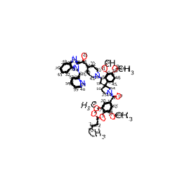 CCCC(=O)Oc1c(OC)cc(C(=O)N2CCC(CCN3CCC(C(=O)c4nc5ccccc5n4Cc4ccccn4)CC3)(c3ccc(OC)c(OC)c3)C2)cc1OC